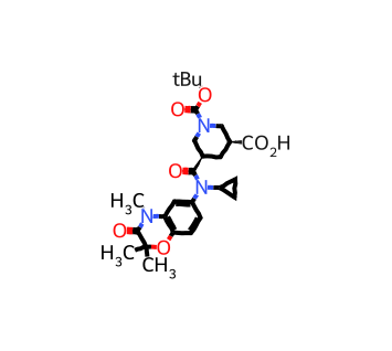 CN1C(=O)C(C)(C)Oc2ccc(N(C(=O)[C@@H]3C[C@H](C(=O)O)CN(C(=O)OC(C)(C)C)C3)C3CC3)cc21